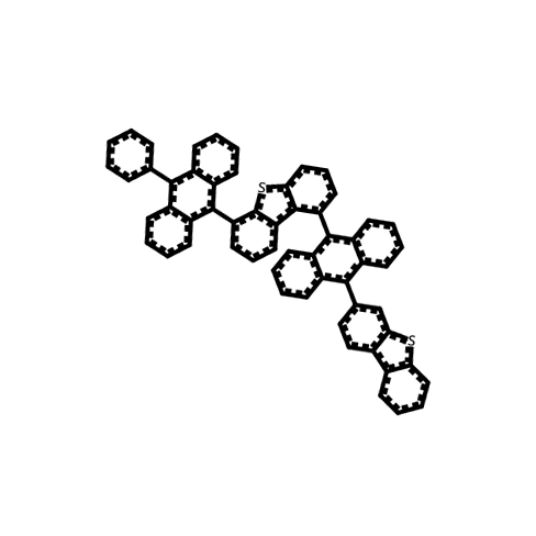 c1ccc(-c2c3ccccc3c(-c3cccc4c3sc3cccc(-c5c6ccccc6c(-c6ccc7c(c6)sc6ccccc67)c6ccccc56)c34)c3ccccc23)cc1